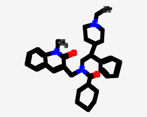 CC(C)CN1CCC(C(CN(Cc2cc3ccccc3n(C)c2=O)C(=O)C2CCCCC2)c2ccccc2)CC1